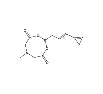 CN1CC(=O)OB(C/C=C/C2=CC2)OC(=O)C1